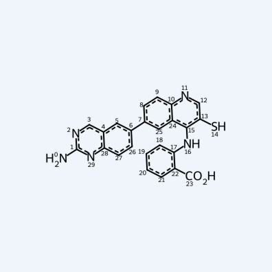 Nc1ncc2cc(-c3ccc4ncc(S)c(Nc5ccccc5C(=O)O)c4c3)ccc2n1